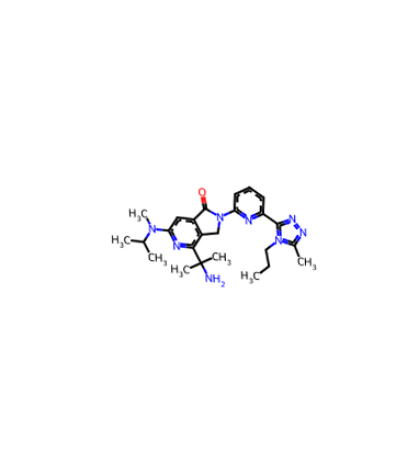 CCCn1c(C)nnc1-c1cccc(N2Cc3c(cc(N(C)C(C)C)nc3C(C)(C)N)C2=O)n1